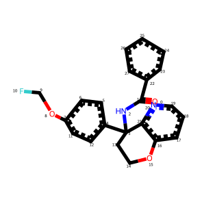 O=C(NC1(c2ccc(OCF)cc2)CCOc2cccnc21)c1ccccc1